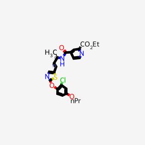 CCCOc1ccc(Oc2ncc(/C=C/[C@H](C)NC(=O)c3ccnc(C(=O)OCC)c3)s2)c(Cl)c1